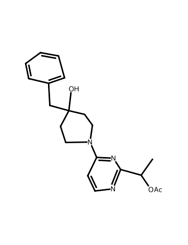 CC(=O)OC(C)c1nccc(N2CCC(O)(Cc3ccccc3)CC2)n1